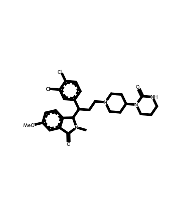 COc1ccc2c(c1)C(=O)N(C)C2C(CCN1CCC(N2CCCNC2=O)CC1)c1ccc(Cl)c(Cl)c1